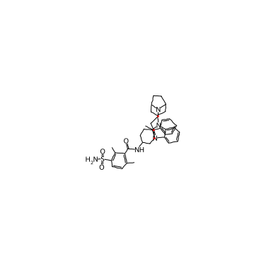 Cc1ccc(S(N)(=O)=O)c(C)c1C(=O)NC1CCC(CCN2C3CCC2CC(n2c(C)nc4ccccc42)C3)(c2ccccc2)CC1